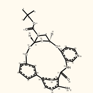 CC(C)(C)OC(=O)N1C[C@@H]2C[C@@H]1COc1cccc(c1)-c1cnc(N)c(n1)C(=O)Nc1cnccc1O2